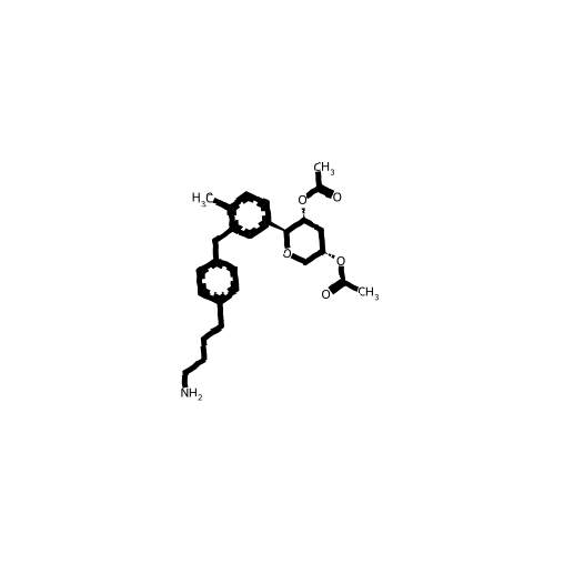 CC(=O)O[C@@H]1CO[C@@H](c2ccc(C)c(Cc3ccc(CCCCN)cc3)c2)[C@H](OC(C)=O)C1